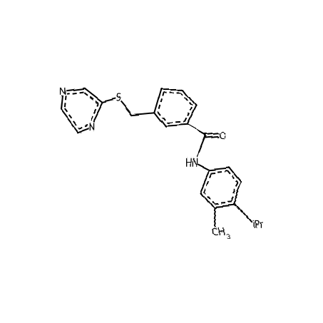 Cc1cc(NC(=O)c2cccc(CSc3cnccn3)c2)ccc1C(C)C